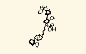 COc1cc(N(CCCCN2CCN(c3ccccc3OC)CC2)C(=O)O)ccc1-c1cccc(C(N)=O)c1